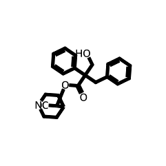 O=C(OC1CN2CCC1CC2)C(CO)(Cc1ccccc1)c1ccccc1